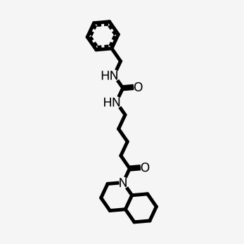 O=C(NCCCCC(=O)N1CCCC2CCCCC21)NCc1ccccc1